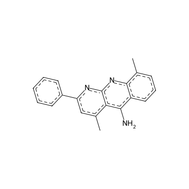 Cc1cccc2c(N)c3c(C)cc(-c4ccccc4)nc3nc12